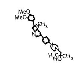 COc1ccc(-c2cc3ncc(-c4ccc(N5CCN(CC(C)(C)O)CC5)cc4)cc3n2C)cc1OC